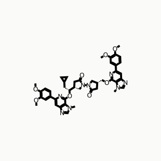 COc1ccc(-c2cc3ncn(C)c3c(OC[C@@H]3CC(=O)N(N4C[C@H]([C@@H](CC5CC5)Oc5nc(-c6ccc(OC)c(OC)c6)cc6ncn(C)c56)CC4=O)C3)n2)cc1OC